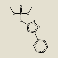 COP(=S)(OC)Oc1cc(-c2ccccc2)on1